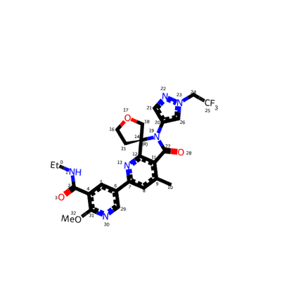 CCNC(=O)c1cc(-c2cc(C)c3c(n2)[C@@]2(CCOC2)N(c2cnn(CC(F)(F)F)c2)C3=O)cnc1OC